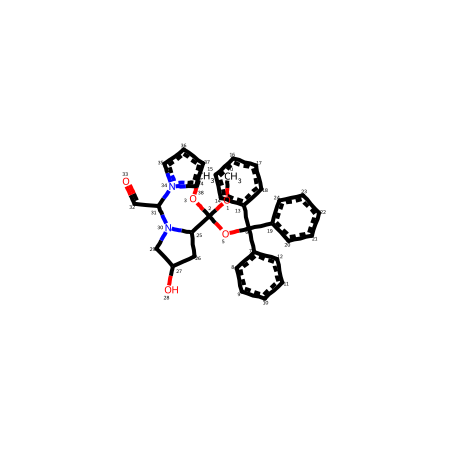 COC(OC)(OC(c1ccccc1)(c1ccccc1)c1ccccc1)C1CC(O)CN1C(C=O)n1cccc1